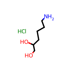 Cl.NCCCCC(O)CO